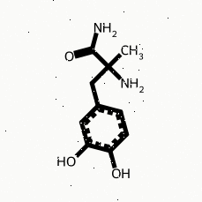 CC(N)(Cc1ccc(O)c(O)c1)C(N)=O